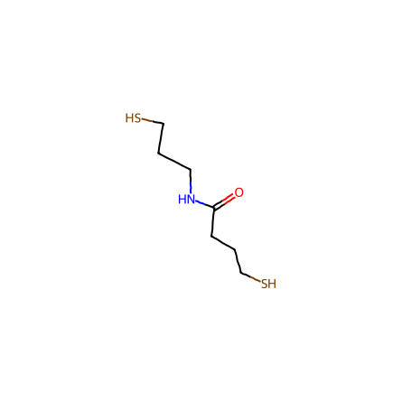 O=C(CCCS)NCCCS